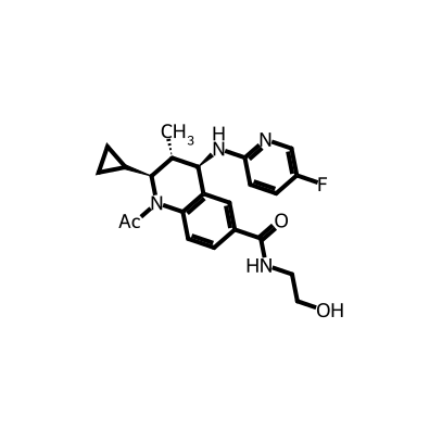 CC(=O)N1c2ccc(C(=O)NCCO)cc2[C@H](Nc2ccc(F)cn2)[C@@H](C)[C@@H]1C1CC1